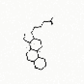 C[C@H](CCC(N)=O)[C@H]1CC[C@H]2[C@@H]3CCC4CCCC[C@]4(C)[C@H]3CC[C@]12C